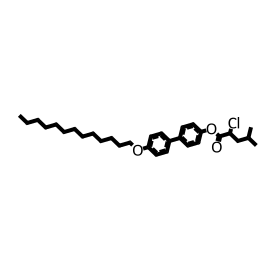 CCCCCCCCCCCCCOc1ccc(-c2ccc(OC(=O)C(Cl)CC(C)C)cc2)cc1